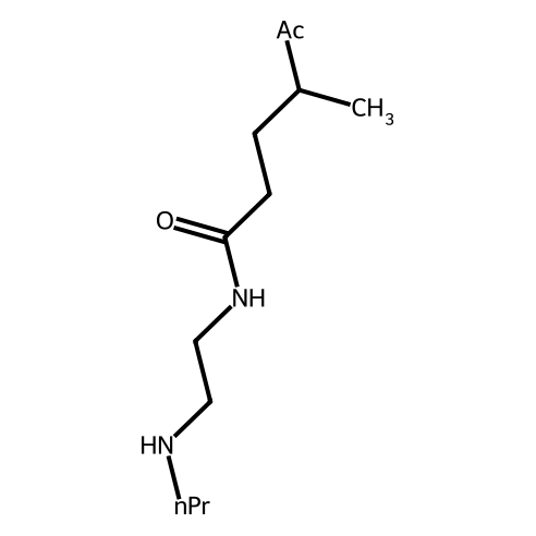 CCCNCCNC(=O)CCC(C)C(C)=O